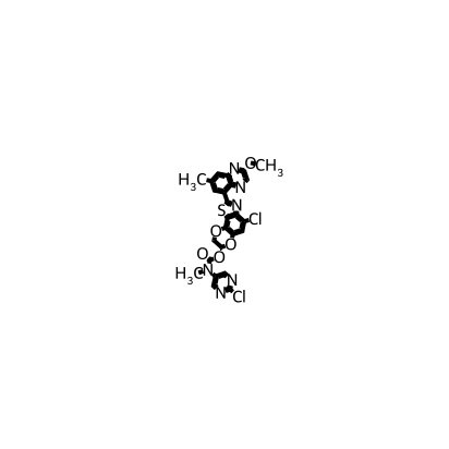 COc1cnc2c(-c3nc4c(Cl)cc5c(c4s3)OC[C@@H](OC(=O)N(C)c3cnc(Cl)nc3)O5)cc(C)cc2n1